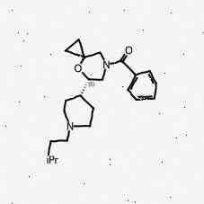 CC(C)CCN1CCC([C@H]2CN(C(=O)c3ccccc3)CC3(CC3)O2)CC1